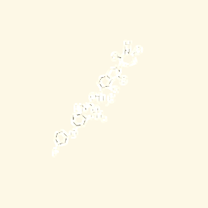 COc1c(COC(=O)Nc2ccc(Oc3cccc(F)c3)cc2C)ccc2c1C(=O)N(C1CCC(=O)NC1=O)C2